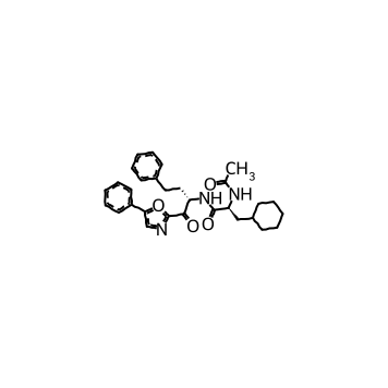 CC(=O)N[C@@H](CC1CCCCC1)C(=O)N[C@@H](CCc1ccccc1)C(=O)c1ncc(-c2ccccc2)o1